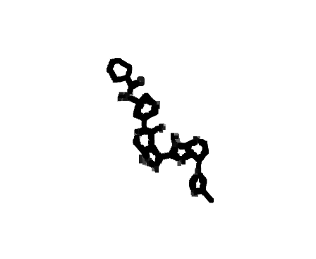 Cc1cn(-c2ccnc3[nH]c(-c4n[nH]c5cnc(-c6cncc(NC(=O)C7CCCCC7)c6)c(F)c45)nc23)cn1